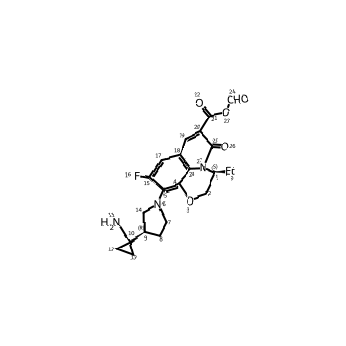 CC[C@H]1COc2c(N3CC[C@@H](C4(N)CC4)C3)c(F)cc3cc(C(=O)OC=O)c(=O)n1c23